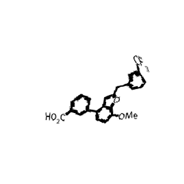 COc1ccc(-c2cccc(C(=O)O)c2)c2cc(Cc3cccc(C(F)(F)F)c3)oc12